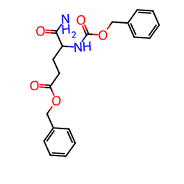 NC(=O)C(CCC(=O)OCc1ccccc1)NC(=O)OCc1ccccc1